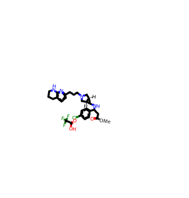 COC(=O)CC(NC1[C@H]2CN(CCCc3ccc4c(n3)NCCC4)C[C@@H]12)c1ccc(Cl)cc1.O=C(O)C(F)(F)F